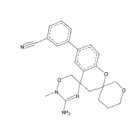 CN1OCC2(CC3(CCCOC3)Oc3ccc(-c4cccc(C#N)c4)cc32)N=C1N